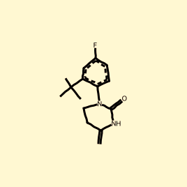 C=C1CCN(c2ccc(F)cc2C(C)(C)C)C(=O)N1